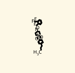 CCCCc1ccc(S(=O)(=O)N2CCC(=NOCc3ccccc3C(F)(F)F)CC2)cc1